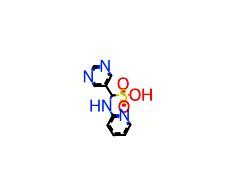 O=S(=O)(O)C(Nc1ccccn1)c1cncnc1